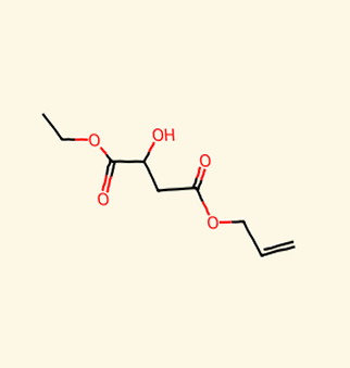 C=CCOC(=O)CC(O)C(=O)OCC